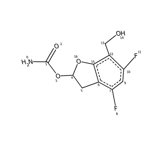 NC(=O)OC1Cc2c(F)cc(F)c(CO)c2O1